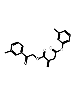 C=C(CC(=O)Oc1cccc(C)c1)C(=O)OCC(=O)c1cccc(C)c1